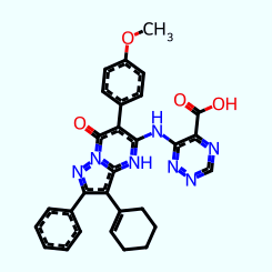 COc1ccc(-c2c(Nc3nncnc3C(=O)O)[nH]c3c(C4=CCCCC4)c(-c4ccccc4)nn3c2=O)cc1